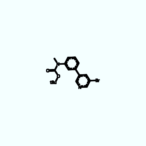 CN(C(=O)OC(C)(C)C)c1cccc(-c2cncc(Br)c2)c1